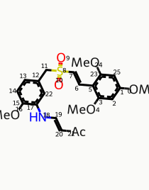 COc1cc(OC)c(C=CS(=O)(=O)Cc2ccc(OC)c(NC=CC(C)=O)c2)c(OC)c1